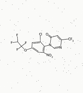 O=c1cc(C(F)(F)F)ncn1-c1c(Cl)cc(OC(F)(F)C(F)F)cc1[N+](=O)[O-]